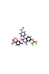 COc1cc(Cn2c(=O)c3cc(OC(CF)CF)ccc3n(C3CCN(C=O)CC3)c2=O)ccc1[N+](=O)[O-]